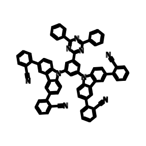 N#Cc1ccccc1-c1ccc2c(c1)c1cc(-c3ccccc3C#N)ccc1n2-c1cc(-c2nc(-c3ccccc3)nc(-c3ccccc3)n2)cc(-n2c3ccc(-c4ccccc4C#N)cc3c3cc(-c4ccccc4C#N)ccc32)c1